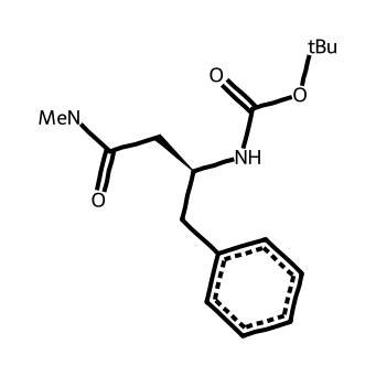 CNC(=O)C[C@H](Cc1ccccc1)NC(=O)OC(C)(C)C